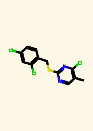 Cc1cnc(SCc2ccc(Cl)cc2Cl)nc1Cl